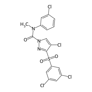 CN(C(=O)n1cc(Cl)c(S(=O)(=O)c2cc(Cl)cc(Cl)c2)n1)c1cccc(Cl)c1